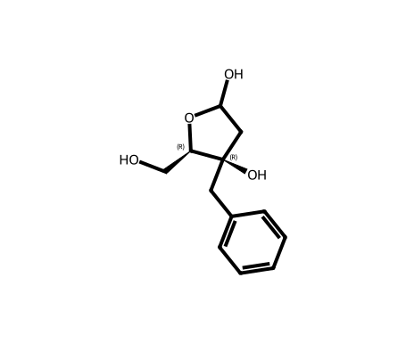 OC[C@H]1OC(O)C[C@]1(O)Cc1ccccc1